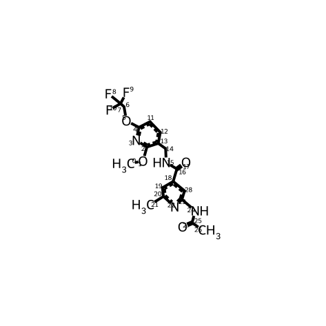 COc1nc(OCC(F)(F)F)ccc1CNC(=O)c1cc(C)nc(NC(C)=O)c1